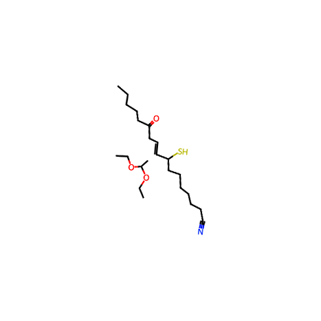 CCCCCC(=O)CC=CC(S)CCCCCCC#N.CCOC(C)OCC